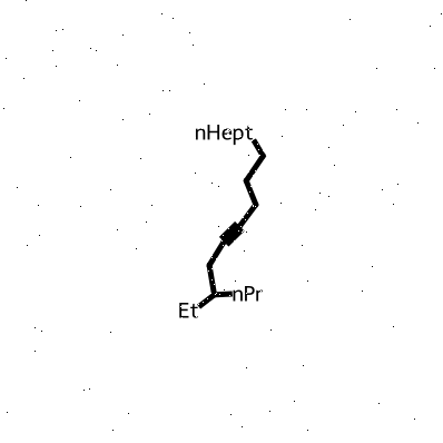 [CH2]CCCCCCCCCC#CCC(CC)CC[CH2]